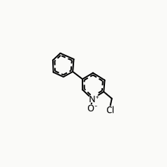 [O-][n+]1cc(-c2ccccc2)ccc1CCl